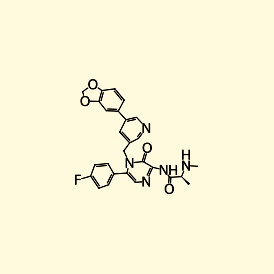 CN[C@@H](C)C(=O)Nc1ncc(-c2ccc(F)cc2)n(Cc2cncc(-c3ccc4c(c3)OCO4)c2)c1=O